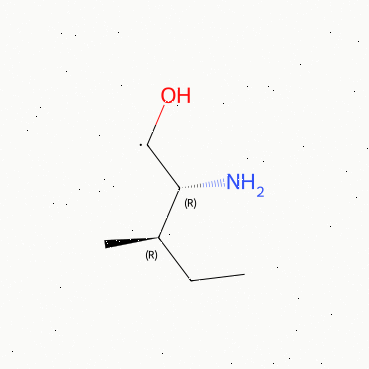 CC[C@@H](C)[C@@H](N)[CH]O